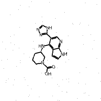 O=C(O)N1CCC[C@@H](Nc2c(-c3nnc[nH]3)cnc3[nH]ccc23)C1